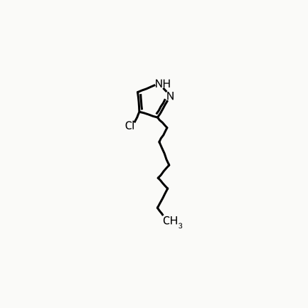 CCCCCCCc1n[nH]cc1Cl